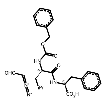 CC(C)C[C@H](NC(=O)OCc1ccccc1)C(=O)N[C@@H](Cc1ccccc1)C(=O)O.[N-]=[N+]=CC=O